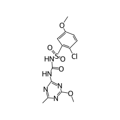 COc1ccc(Cl)c(S(=O)(=O)NC(=O)Nc2nc(C)nc(OC)n2)c1